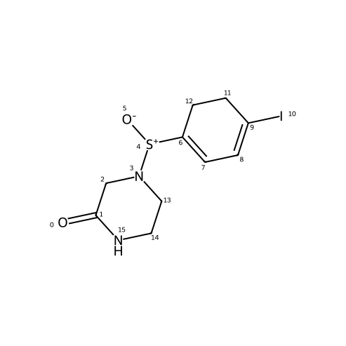 O=C1CN([S+]([O-])C2=CC=C(I)CC2)CCN1